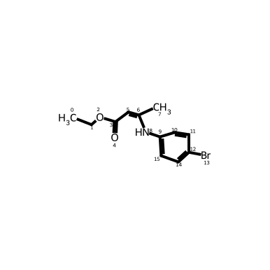 CCOC(=O)/C=C(/C)Nc1ccc(Br)cc1